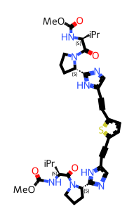 COC(=O)N[C@H](C(=O)N1CCC[C@H]1c1ncc(C#Cc2ccc(C#Cc3cnc([C@@H]4CCCN4C(=O)[C@@H](NC(=O)OC)C(C)C)[nH]3)s2)[nH]1)C(C)C